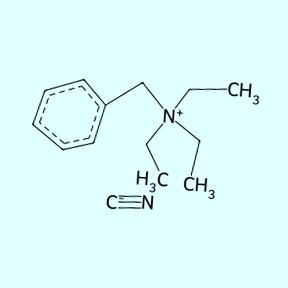 CC[N+](CC)(CC)Cc1ccccc1.[C-]#N